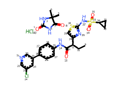 CC1(C)NC(=O)NC1=O.CCC(C(=O)Nc1ccc(-c2cncc(Cl)c2)cc1)c1csc(NS(=O)(=O)C2CC2)n1.Cl